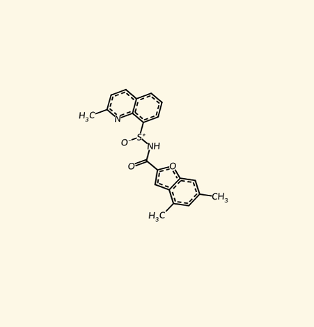 Cc1cc(C)c2cc(C(=O)N[S+]([O-])c3cccc4ccc(C)nc34)oc2c1